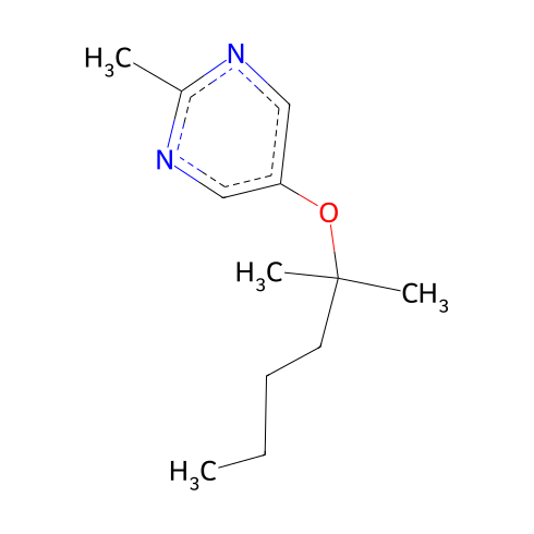 CCCCC(C)(C)Oc1cnc(C)nc1